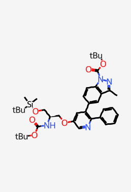 Cc1nn(C(=O)OC(C)(C)C)c2ccc(-c3cc(OC[C@H](CO[Si](C)(C)C(C)(C)C)NC(=O)OC(C)(C)C)cnc3-c3ccccc3)cc12